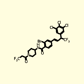 O=C(NC1CCN(C(=O)CC(F)(F)F)CC1)c1ccc(C=CC(c2cc(Cl)c(Cl)c(Cl)c2)C(F)(F)F)cc1Br